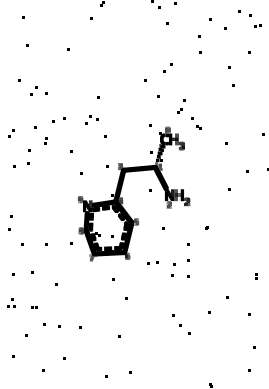 C[C@H](N)Cc1ccccn1